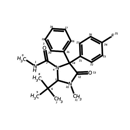 CNC(=O)N1C(C(C)(C)C)N(C)C(=O)C1(c1ccccc1)c1ccc(F)cc1